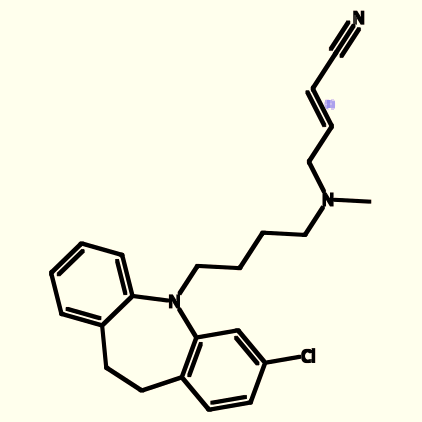 CN(C/C=C/C#N)CCCCN1c2ccccc2CCc2ccc(Cl)cc21